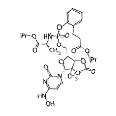 CC(C)OC(=O)CCc1ccccc1OP(=O)(N[C@@H](C)C(=O)OC(C)C)OC[C@H]1O[C@@H](n2ccc(NO)nc2=O)C2(C)OC(=O)OC12